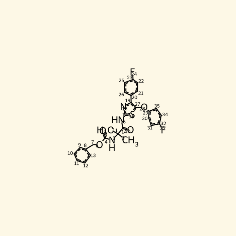 CC(C)(NC(=O)OCc1ccccc1)C(=O)Nc1nc(-c2ccc(F)cc2)c(Oc2ccc(F)cc2)s1